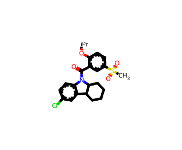 CC(C)Oc1ccc(S(C)(=O)=O)cc1C(=O)N1c2ccc(Cl)cc2C2CCCCC21